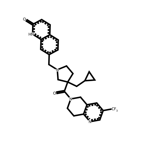 O=C(N1CCc2ncc(C(F)(F)F)cc2C1)C1(CC2CC2)CCN(Cc2ccc3ccc(=O)[nH]c3c2)C1